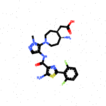 Cn1ncc(NC(=O)c2nc(-c3c(F)cccc3F)sc2N)c1N1CC[C@@H](CC(=O)O)[C@H](N)CC1